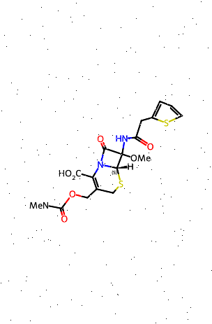 CNC(=O)OCC1=C(C(=O)O)N2C(=O)C(NC(=O)Cc3cccs3)(OC)[C@@H]2SC1